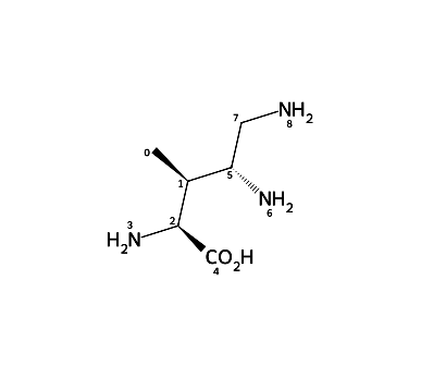 C[C@H]([C@H](N)C(=O)O)[C@@H](N)CN